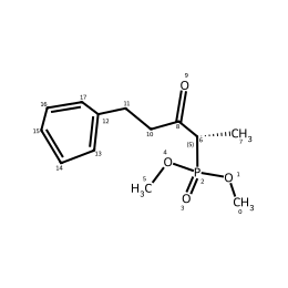 COP(=O)(OC)[C@@H](C)C(=O)CCc1ccccc1